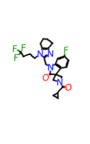 O=C(C1CC1)N1CC2(C1)C(=O)N(Cc1nc3c(n1CCCC(F)(F)F)CCCC3)c1cc(F)ccc12